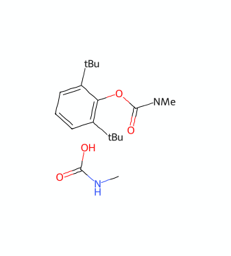 CNC(=O)O.CNC(=O)Oc1c(C(C)(C)C)cccc1C(C)(C)C